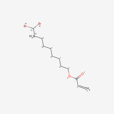 C=CC(=O)OCCCCCCC[SiH2]C(Br)Br